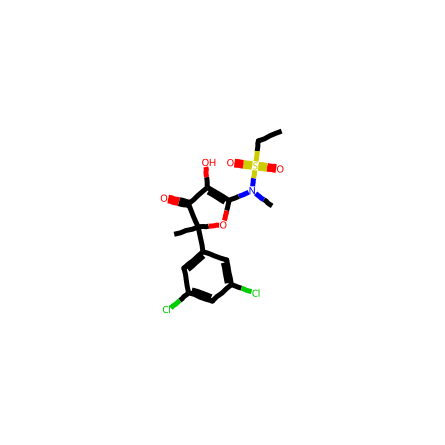 CCS(=O)(=O)N(C)C1=C(O)C(=O)C(C)(c2cc(Cl)cc(Cl)c2)O1